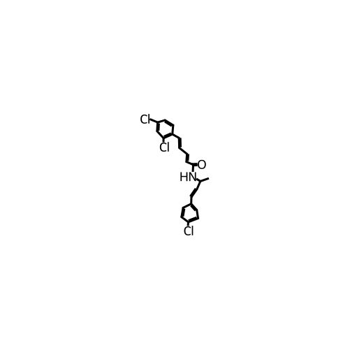 CC(C=Cc1ccc(Cl)cc1)NC(=O)C=CC=Cc1ccc(Cl)cc1Cl